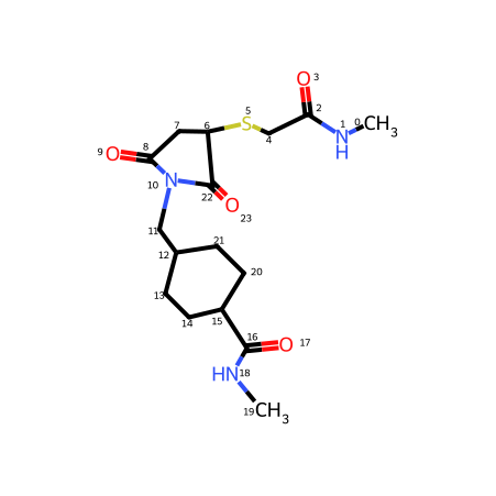 CNC(=O)CSC1CC(=O)N(CC2CCC(C(=O)NC)CC2)C1=O